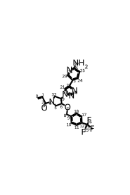 C=CC(=O)N1CC(OCc2ccc(C(F)(F)F)cc2)C(n2cc(-c3ccc(N)nc3)nn2)C1